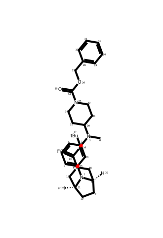 CN(c1cccc(N2[C@@H]3CC[C@H]2CN(C(=O)OC(C)(C)C)C3)c1)C1CCN(C(=O)OCc2ccccc2)CC1